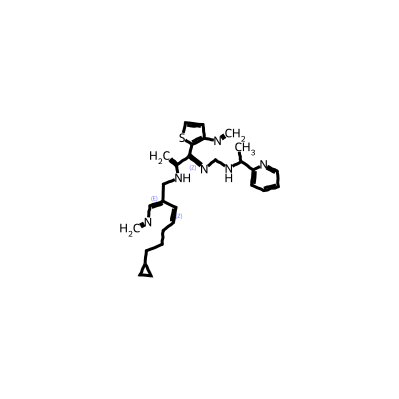 C=N/C=C(\C=C/CCCC1CC1)CNC(=C)/C(=N/CNC(C)c1ccccn1)c1sccc1N=C